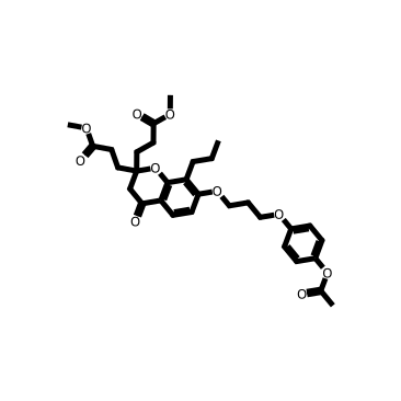 CCCc1c(OCCCOc2ccc(OC(C)=O)cc2)ccc2c1OC(CCC(=O)OC)(CCC(=O)OC)CC2=O